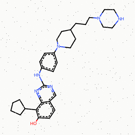 Oc1ccc2cnc(Nc3ccc(N4CCC(CCCN5CCNCC5)CC4)cc3)nc2c1C1CCCC1